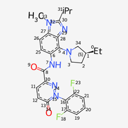 CC[C@H]1CCN(c2c(NC(=O)c3ccc(=O)n(-c4c(F)cccc4F)n3)ccc3c2nc(C(C)C)n3C)C1